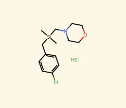 C[Si](C)(Cc1ccc(Cl)cc1)CN1CCOCC1.Cl